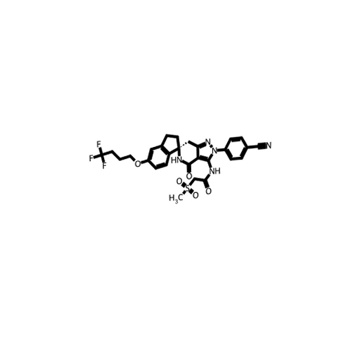 CS(=O)(=O)CC(=O)Nc1c2c(nn1-c1ccc(C#N)cc1)C[C@]1(CCc3cc(OCCCC(F)(F)F)ccc31)NC2=O